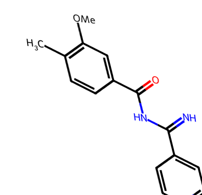 COc1cc(C(=O)NC(=N)c2ccncc2)ccc1C